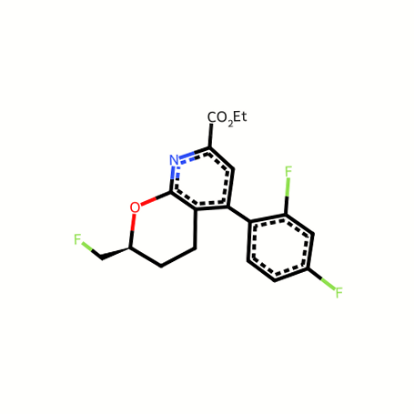 CCOC(=O)c1cc(-c2ccc(F)cc2F)c2c(n1)O[C@H](CF)CC2